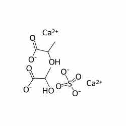 CC(O)C(=O)[O-].CC(O)C(=O)[O-].O=S(=O)([O-])[O-].[Ca+2].[Ca+2]